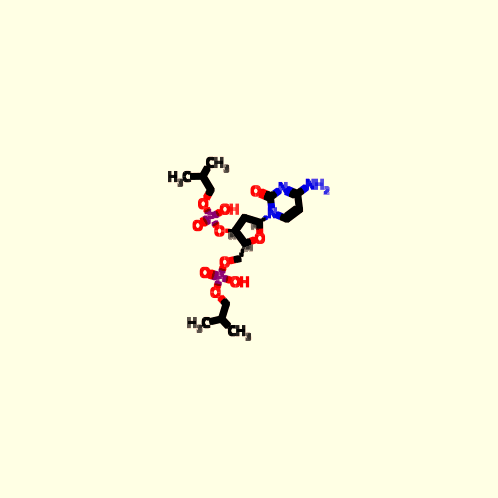 CC(C)COP(=O)(O)OC[C@H]1O[C@@H](n2ccc(N)nc2=O)C[C@H]1OP(=O)(O)OCC(C)C